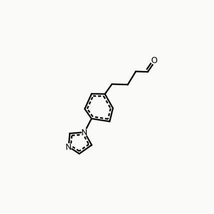 O=CCCCc1ccc(-n2ccnc2)cc1